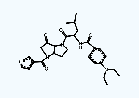 CCN(CC)c1ccc(C(=O)NC(CC(C)C)C(=O)N2CCC3C2C(=O)CN3C(=O)c2ccoc2)cc1